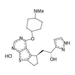 CNC1CCC(Oc2ncnc3sc4c(c23)[C@@H](C[C@@H](O)c2cc[nH]n2)CC4)CC1.Cl